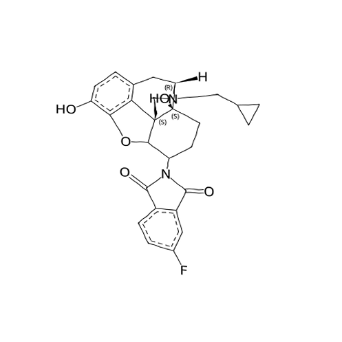 O=C1c2ccc(F)cc2C(=O)N1C1CC[C@@]2(O)[C@H]3Cc4ccc(O)c5c4[C@@]2(CCN3CC2CC2)C1O5